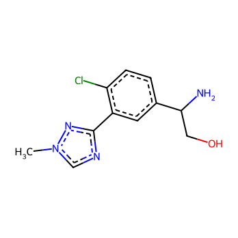 Cn1cnc(-c2cc(C(N)CO)ccc2Cl)n1